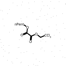 CCCCCOC(=O)C(=O)OCC(Cl)(Cl)Cl